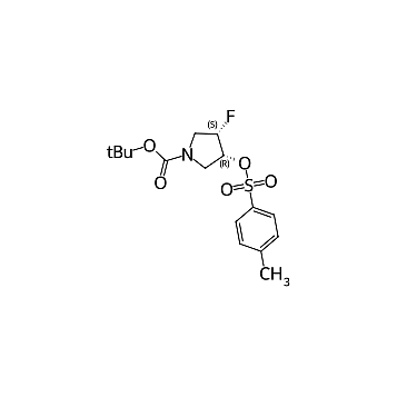 Cc1ccc(S(=O)(=O)O[C@@H]2CN(C(=O)OC(C)(C)C)C[C@@H]2F)cc1